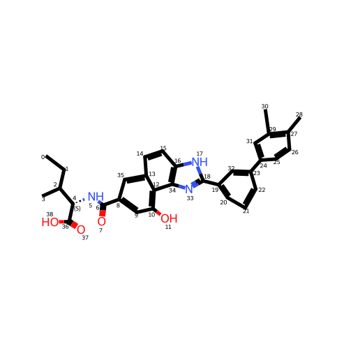 CCC(C)[C@H](NC(=O)c1cc(O)c2c(ccc3[nH]c(-c4cccc(-c5ccc(C)c(C)c5)c4)nc32)c1)C(=O)O